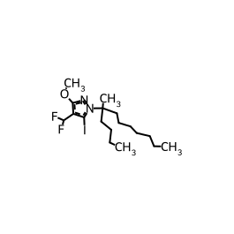 CCCCCCCC(C)(CCCC)n1nc(OC)c(C(F)F)c1I